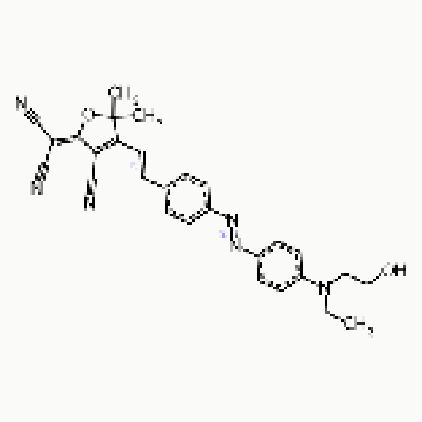 CCN(CCO)c1ccc(/N=N/c2ccc(/C=C/C3=C(C#N)C(=C(C#N)C#N)OC3(C)C)cc2)cc1